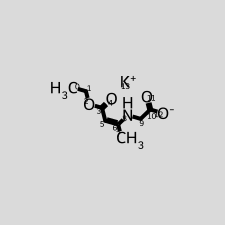 CCOC(=O)C=C(C)NCC(=O)[O-].[K+]